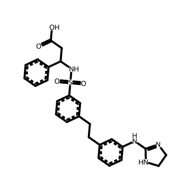 O=C(O)CC(NS(=O)(=O)c1cccc(CCc2cccc(NC3=NCCN3)c2)c1)c1ccccc1